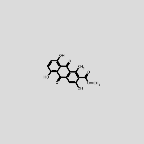 COC(=O)c1c(O)cc2c(c1C)C(=O)c1c(O)ccc(O)c1C2=O